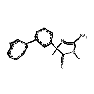 CN1C(=O)C(C)(c2cccc(-c3ccccc3)c2)N=C1N